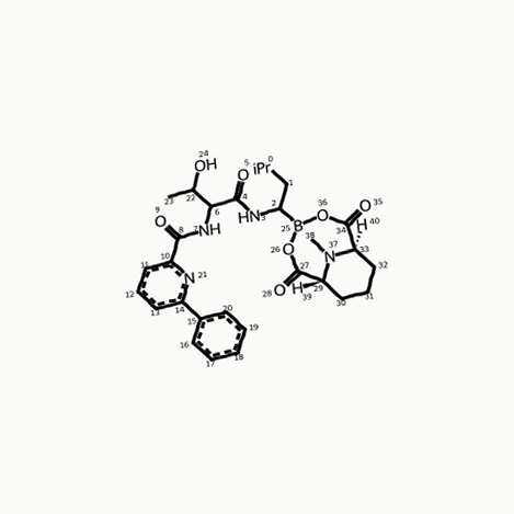 CC(C)CC(NC(=O)C(NC(=O)c1cccc(-c2ccccc2)n1)C(C)O)B1OC(=O)[C@H]2CCC[C@H](C(=O)O1)N2C